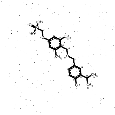 Cc1cc(OCP(=O)(O)O)cc(C)c1COCc1ccc(O)c(C(C)C)c1